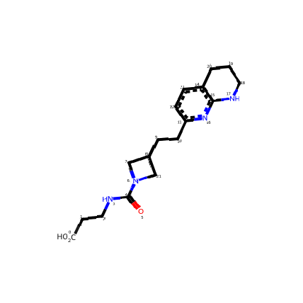 O=C(O)CCNC(=O)N1CC(CCc2ccc3c(n2)NCCC3)C1